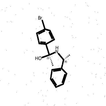 C[C@@H](N[C@@](C)(O)c1ccc(Br)cc1)c1ccccc1